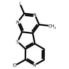 Cc1nc(I)nc2sc3c(Cl)nccc3c12